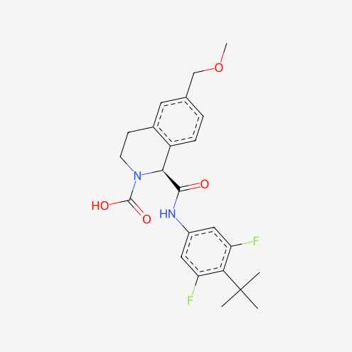 COCc1ccc2c(c1)CCN(C(=O)O)[C@@H]2C(=O)Nc1cc(F)c(C(C)(C)C)c(F)c1